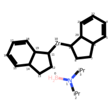 BN(C(C)C)C(C)C.C1=CC2CC[CH]([Zr][CH]3CCC4C=CC=CC43)C2C=C1